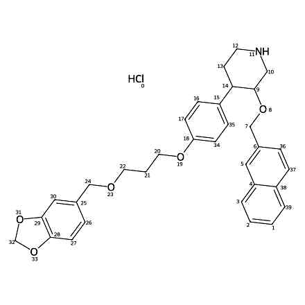 Cl.c1ccc2cc(COC3CNCCC3c3ccc(OCCCOCc4ccc5c(c4)OCO5)cc3)ccc2c1